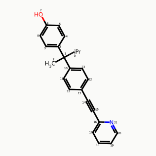 CC(C)C(C)(c1ccc(O)cc1)c1ccc(C#Cc2ccccn2)cc1